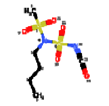 CCCCN(S(C)(=O)=O)S(=O)(=O)N=C=O